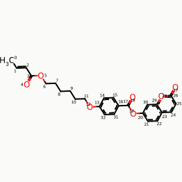 CC=CC(=O)OCCCCCCOc1ccc(C(=O)Oc2ccc3ccc(=O)oc3c2)cc1